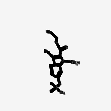 CC(C)(C)COC(=O)c1c(Br)c2ccc(O[Si](C)(C)C(C)(C)C)cc2n1C(=O)O